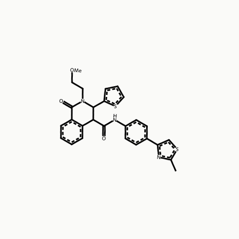 COCCN1C(=O)c2ccccc2C(C(=O)Nc2ccc(-c3csc(C)n3)cc2)C1c1cccs1